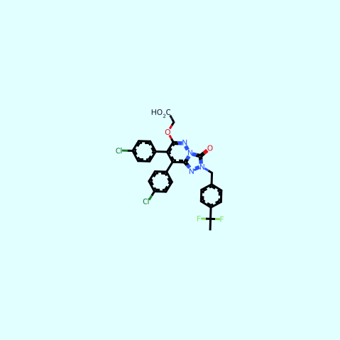 CC(F)(F)c1ccc(Cn2nc3c(-c4ccc(Cl)cc4)c(-c4ccc(Cl)cc4)c(OCC(=O)O)nn3c2=O)cc1